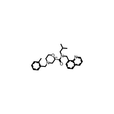 Cc1ccccc1CN1CCO[C@@H](C(=O)N(Cc2cccc3cccnc23)CC(C)C)C1